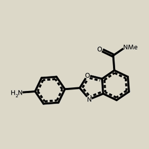 CNC(=O)c1cccc2nc(-c3ccc(N)cc3)oc12